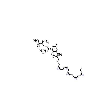 CC/C=C\C/C=C\C/C=C\C/C=C\C/C=C\CCCC(=O)NC(CC(C)C)C(=O)OC(CN)CCC(N)C(=O)O